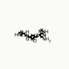 Nc1cc(OCc2ccc(C(=O)NCCc3c[nH]cn3)cc2Cl)c2nn[nH]c2n1